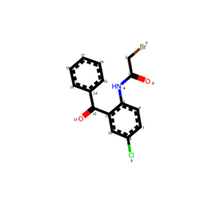 O=C(CBr)Nc1ccc(Cl)cc1C(=O)c1ccccc1